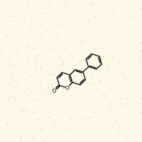 O=c1ccc2cc(-c3ccccc3)ccc2o1